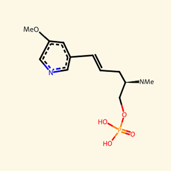 CN[C@H](C/C=C/c1cncc(OC)c1)COP(=O)(O)O